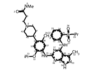 CNC(=O)CCN1CCC(c2cc(OC(C)C)c(Nc3nc(Nc4ccccc4S(=O)(=O)C(C)C)c4c(C)n[nH]c4n3)cc2C)CC1